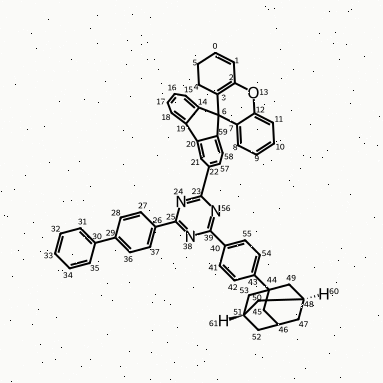 C1=CC2=C(CC1)C1(c3ccccc3O2)c2ccccc2-c2cc(-c3nc(-c4ccc(-c5ccccc5)cc4)nc(-c4ccc(C56CC7C[C@H](C5)C[C@H](C7)C6)cc4)n3)ccc21